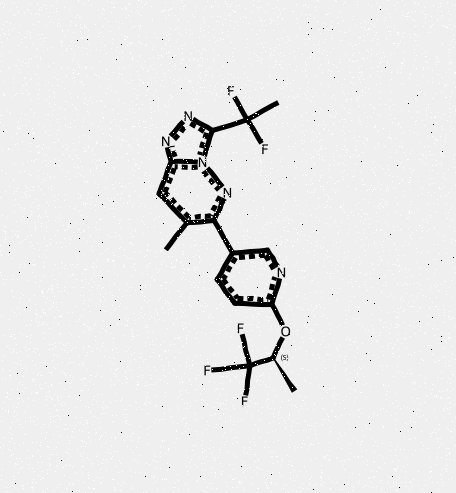 Cc1cc2nnc(C(C)(F)F)n2nc1-c1ccc(O[C@@H](C)C(F)(F)F)nc1